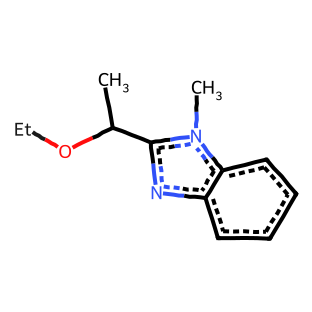 CCOC(C)c1nc2ccccc2n1C